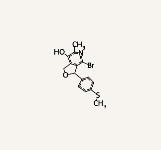 CSc1ccc(C2OCc3c(O)c(C)nc(Br)c32)cc1